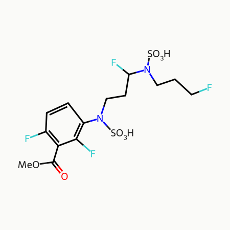 COC(=O)c1c(F)ccc(N(CCC(F)N(CCCF)S(=O)(=O)O)S(=O)(=O)O)c1F